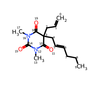 C=CCC1(CC=CCCC)C(=O)N(C)C(=O)N(C)C1=O